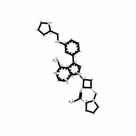 NC(=O)[C@H]1CCCN1C[C@H]1C[C@H](n2cc(-c3cccc(OCC4CCCO4)c3)c3c(N)ncnc32)C1